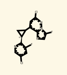 Fc1cc(Cl)cnc1[C@H]1CC1c1cc(Cl)nn2c(F)cnc12